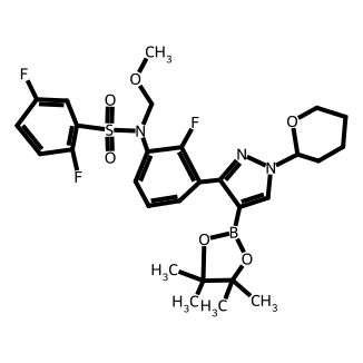 COCN(c1cccc(-c2nn(C3CCCCO3)cc2B2OC(C)(C)C(C)(C)O2)c1F)S(=O)(=O)c1cc(F)ccc1F